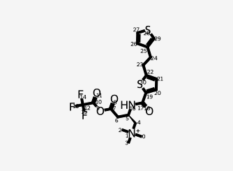 C[N+](C)(C)C[C@@H](CC(=O)OC(=O)C(F)(F)F)NC(=O)c1ccc(CCc2ccsc2)s1